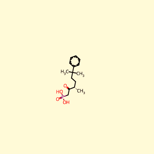 C[C@@H](CCC(C)(C)c1ccccc1)C(=O)CP(=O)(O)O